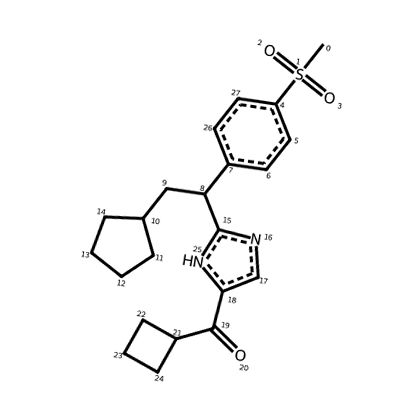 CS(=O)(=O)c1ccc(C(CC2CCCC2)c2ncc(C(=O)C3CCC3)[nH]2)cc1